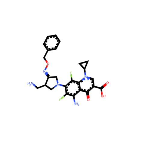 NCC1CN(c2c(F)c(N)c3c(=O)c(C(=O)O)cn(C4CC4)c3c2F)CC1=NOCc1ccccc1